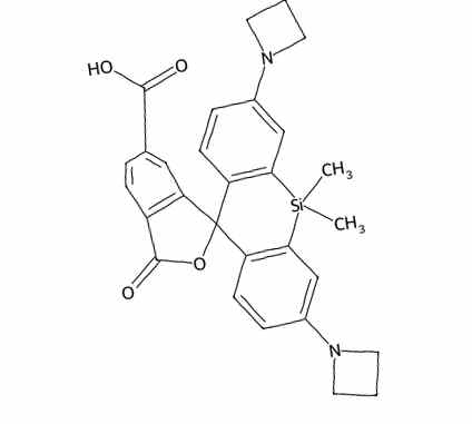 C[Si]1(C)c2cc(N3CCC3)ccc2C2(OC(=O)c3ccc(C(=O)O)cc32)c2ccc(N3CCC3)cc21